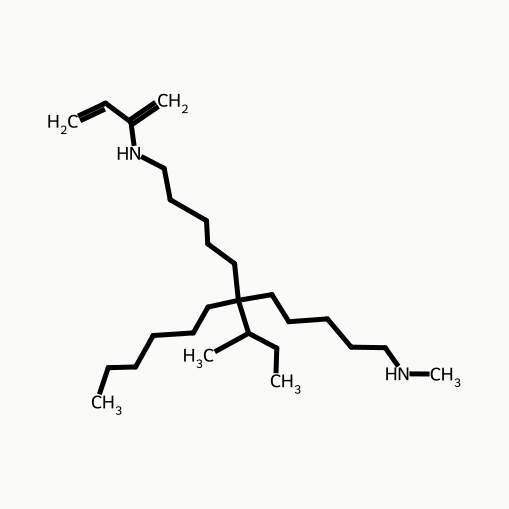 C=CC(=C)NCCCCCC(CCCCCC)(CCCCCNC)C(C)CC